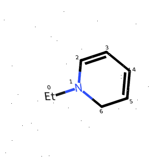 CCN1C=C[C]=CC1